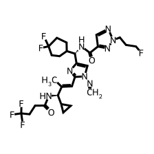 C=Nn1cc([C@@H](NC(=O)c2cnn(CCCF)n2)C2CCC(F)(F)CC2)nc1/C=C(\C)[C@H](NC(=O)CCC(F)(F)F)C1CC1